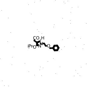 CC(C)Oc1nn(CCOCc2ccccc2)cc1CC(=O)O